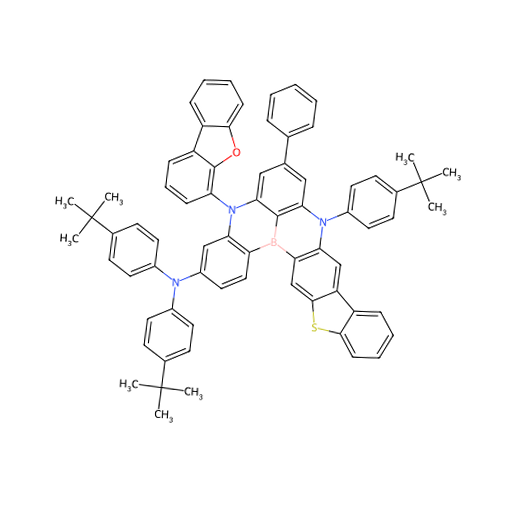 CC(C)(C)c1ccc(N(c2ccc(C(C)(C)C)cc2)c2ccc3c(c2)N(c2cccc4c2oc2ccccc24)c2cc(-c4ccccc4)cc4c2B3c2cc3sc5ccccc5c3cc2N4c2ccc(C(C)(C)C)cc2)cc1